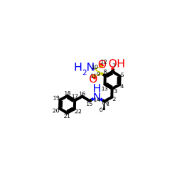 C[C@H](Cc1ccc(O)c(S(N)(=O)=O)c1)NCCc1ccccc1